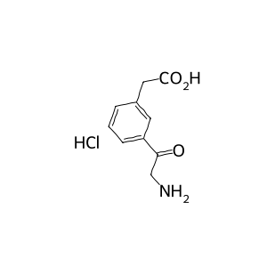 Cl.NCC(=O)c1cccc(CC(=O)O)c1